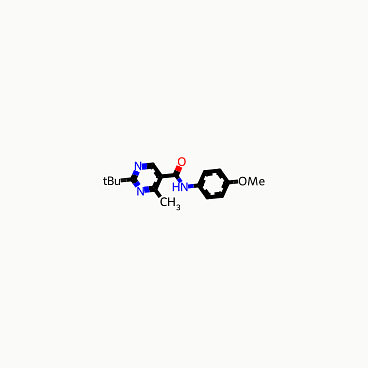 COc1ccc(NC(=O)c2cnc(C(C)(C)C)nc2C)cc1